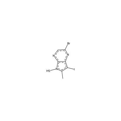 Cc1c(I)c2nc(Br)cnc2n1S